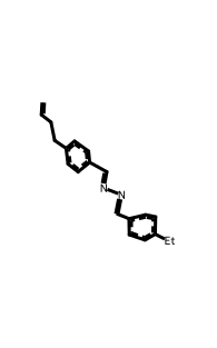 C=CCCc1ccc(C=NN=Cc2ccc(CC)cc2)cc1